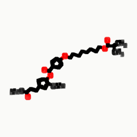 C=C(C)C(=O)OCCCCCCCCOc1ccc(C(=O)Oc2ccc(C=CC(=O)OC)cc2OC)cc1